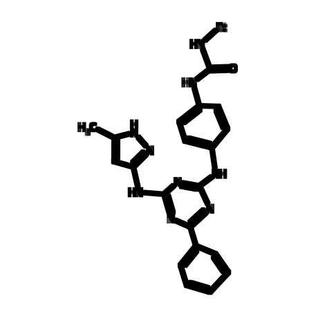 CCNC(=O)Nc1ccc(Nc2nc(Nc3cc(C)[nH]n3)nc(-c3ccccc3)n2)cc1